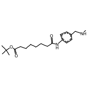 CNCc1ccc(NC(=O)CCCCCCC(=O)OC(C)(C)C)cc1